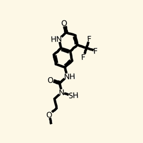 COCCN(S)C(=O)Nc1ccc2[nH]c(=O)cc(C(F)(F)F)c2c1